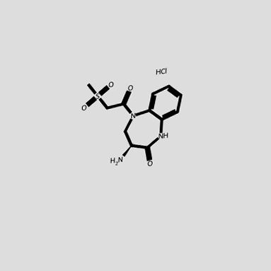 CS(=O)(=O)CC(=O)N1C[C@H](N)C(=O)Nc2ccccc21.Cl